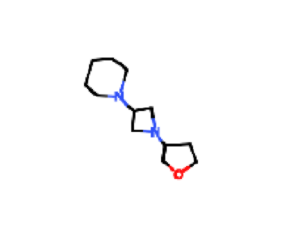 C1CCN(C2CN(C3CCOC3)C2)CC1